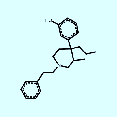 CCCC1(c2cccc(O)c2)CCN(CCc2ccccc2)CC1C